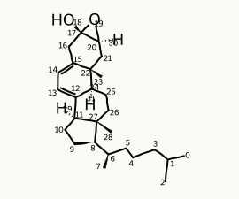 CC(C)CCC[C@@H](C)[C@H]1CC[C@H]2C3=CC=C4C[C@]5(O)O[C@H]5C[C@]4(C)[C@H]3CC[C@]12C